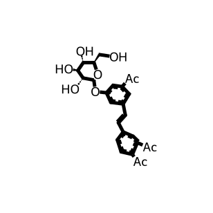 CC(=O)c1cc(C=Cc2ccc(C(C)=O)c(C(C)=O)c2)cc(OC2O[C@H](CO)[C@@H](O)[C@H](O)[C@H]2O)c1